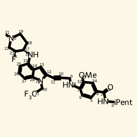 CCCC(C)NC(=O)c1ccc(NCC#Cc2cc3c(N[C@@H]4CCN(C)C[C@@H]4F)cccc3n2CC(F)(F)F)c(OC)c1